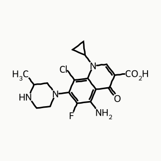 CC1CN(c2c(F)c(N)c3c(=O)c(C(=O)O)cn(C4CC4)c3c2Cl)CCN1